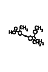 CCc1cc(C#Cc2ccc3c(c2)C(c2ccc(C)cc2)=CC3(C)C)ccc1C(=O)O